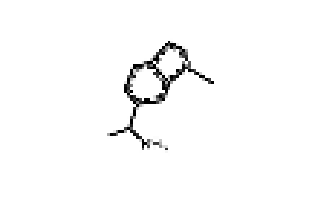 CC(N)c1ccc2ccn(C)c2c1